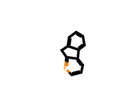 c1ccc2c(c1)Cc1pcccc1-2